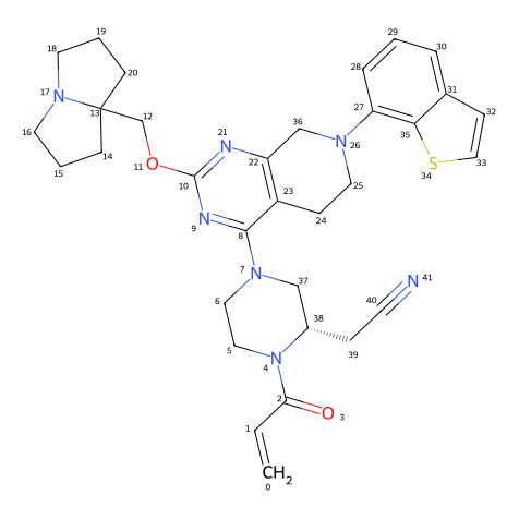 C=CC(=O)N1CCN(c2nc(OCC34CCCN3CCC4)nc3c2CCN(c2cccc4ccsc24)C3)C[C@@H]1CC#N